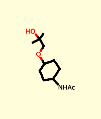 CC(=O)NC1CCC(OCC(C)(C)O)CC1